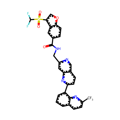 O=C(NCc1cc2nc(-c3cccc4ccc(C(F)(F)F)nc34)ccc2cn1)c1ccc2occ(S(=O)(=O)C(F)F)c2c1